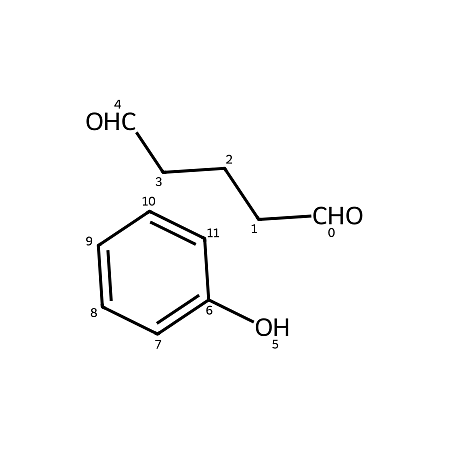 O=CCCCC=O.Oc1ccccc1